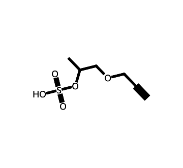 C#CCOCC(C)OS(=O)(=O)O